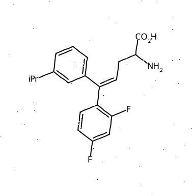 CC(C)c1cccc(/C(=C\CC(N)C(=O)O)c2ccc(F)cc2F)c1